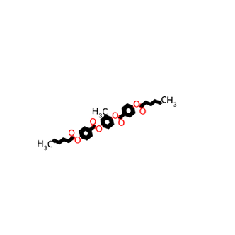 CCCCCC(=O)Oc1ccc(C(=O)Oc2ccc(OC(=O)c3ccc(OC(=O)CCCCC)cc3)c(C)c2)cc1